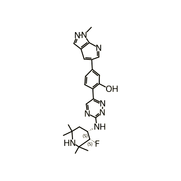 Cn1ncc2cc(-c3ccc(-c4cnc(N[C@H]5CC(C)(C)NC(C)(C)[C@H]5F)nn4)c(O)c3)cnc21